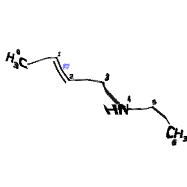 C/C=C/CNCC